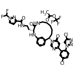 CC(=O)OC(F)(F)F.O=C(NCC[C@H]1Nc2cccc(c2)[C@@H](n2cnc(-c3cc(Cl)ccc3-n3cc(Cl)nn3)cc2=O)CCCCCNC1=O)c1ccn(C(F)F)n1